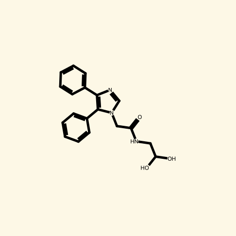 O=C(Cn1cnc(-c2ccccc2)c1-c1ccccc1)NCC(O)O